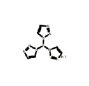 Cl.c1cn(P(n2ccnn2)n2ccnn2)nn1